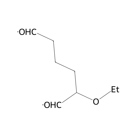 CCOC([C]=O)CCC[C]=O